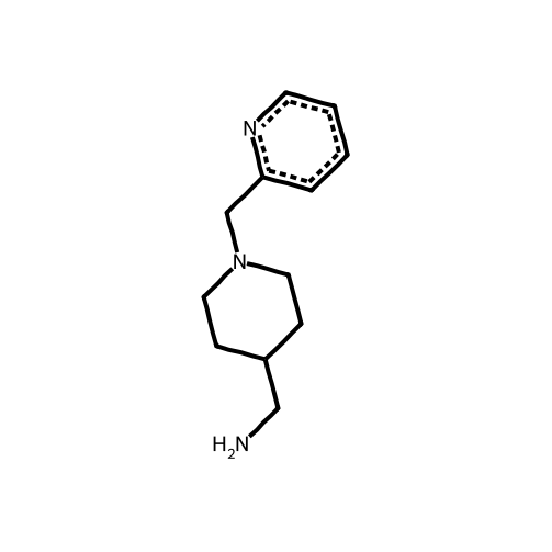 NCC1CCN(Cc2ccccn2)CC1